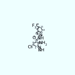 N=Nc1cc(Cl)cc(C(=O)Nc2nc3ccc(C(F)(F)F)cc3s2)c1N